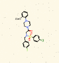 COc1ccccc1N1CCN(C(=O)CN(Cc2ccc(F)cc2)S(=O)(=O)c2ccc(Cl)cc2)CC1